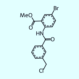 COC(=O)c1cc(Br)ccc1NC(=O)c1cccc(CCl)c1